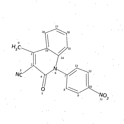 Cc1c(C#N)c(=O)n(-c2ccc([N+](=O)[O-])cc2)c2ccccc12